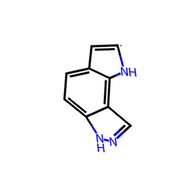 [c]1cc2ccc3[nH]ncc3c2[nH]1